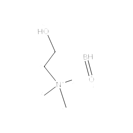 B=O.C[N+](C)(C)CCO